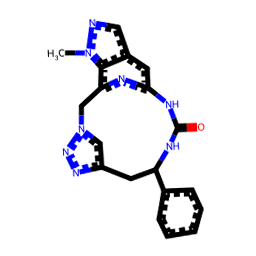 Cn1ncc2cc3nc(c21)Cn1cc(nn1)CC(c1ccccc1)NC(=O)N3